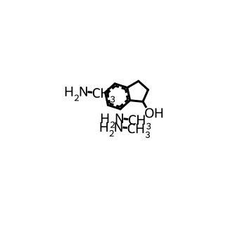 CN.CN.CN.OC1CCc2ccccc21